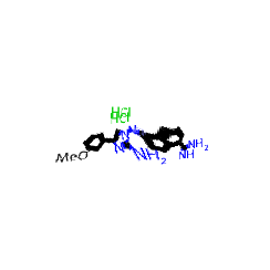 COc1cccc(-c2cn(/N=C3\CCc4c(C(=N)N)cccc43)c(N)n2)c1.Cl.Cl